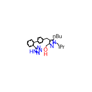 CCCCc1c(Cc2ccc(-c3ccccc3-c3nnn[nH]3)cc2)c(CO)nn1CC(C)C